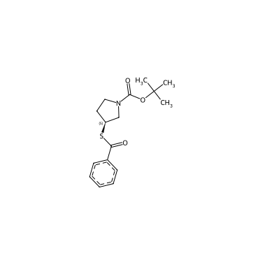 CC(C)(C)OC(=O)N1CC[C@H](SC(=O)c2ccccc2)C1